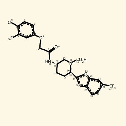 O=C(COc1ccc(Cl)c(F)c1)N[C@H]1CC[C@H](c2nc3ccc(C(F)(F)F)cc3o2)N(C(=O)O)C1